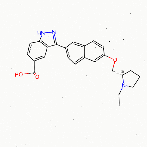 CCN1CCC[C@H]1COc1ccc2cc(-c3n[nH]c4ccc(C(=O)O)cc34)ccc2c1